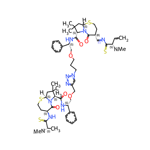 C=C[C@H](NC)C(=S)/N=C/[C@H]1CCS[C@H]2CC(C)(C)[C@@H](C(=O)N[C@H](COCCCn3cc(COC[C@@H](NC(=O)[C@H]4N5C(=O)[C@@H](NC(=S)[C@H](C)NC)CCS[C@H]5CC4(C)C)c4ccccc4)nn3)c3ccccc3)N2C1=O